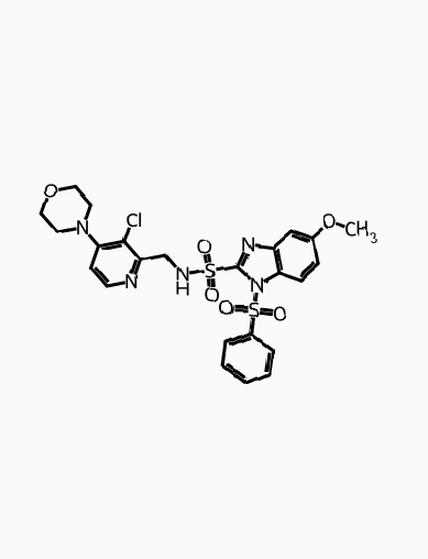 COc1ccc2c(c1)nc(S(=O)(=O)NCc1nccc(N3CCOCC3)c1Cl)n2S(=O)(=O)c1ccccc1